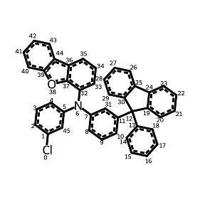 Clc1cccc(N(c2cccc(C3(c4ccccc4)c4ccccc4-c4ccccc43)c2)c2cccc3c2oc2ccccc23)c1